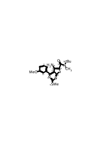 COc1cccc(-c2nc(SC)nc3sc(C(=O)N(C)C(C)(C)C)c(N)c23)c1